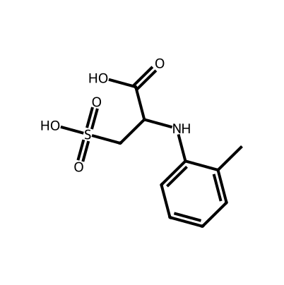 Cc1ccccc1NC(CS(=O)(=O)O)C(=O)O